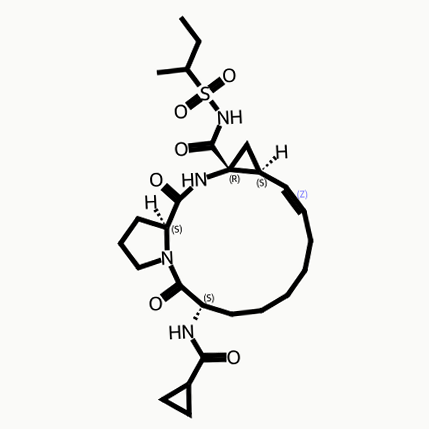 CCC(C)S(=O)(=O)NC(=O)[C@@]12C[C@H]1/C=C\CCCCC[C@H](NC(=O)C1CC1)C(=O)N1CCC[C@H]1C(=O)N2